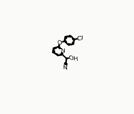 N#CC(O)c1cccc(Oc2ccc(Cl)cc2)n1